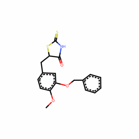 COc1ccc(CC2SC(=S)NC2=O)cc1OCc1ccccc1